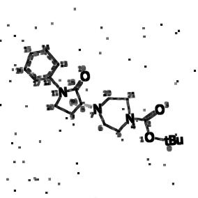 CC(C)(C)OC(=O)N1CCN([C@@H]2CCN(c3ccccc3)C2=O)CC1